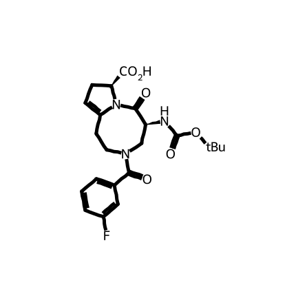 CC(C)(C)OC(=O)N[C@H]1CN(C(=O)c2cccc(F)c2)CCC2=CC[C@@H](C(=O)O)N2C1=O